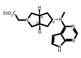 CCOC(=O)CN1C[C@H]2C[C@@H](N(C)c3ncnc4[nH]ccc34)C[C@H]2C1